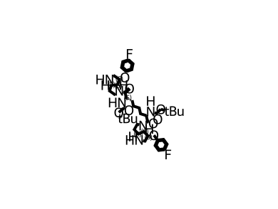 CC(C)(C)OC(=O)NC(CCCC[C@H](NC(=O)OC(C)(C)C)C(=O)N1CC[C@H]2NC[C@H](Oc3ccc(F)cc3)[C@H]21)C(=O)N1CC[C@H]2NC[C@H](Oc3ccc(F)cc3)[C@H]21